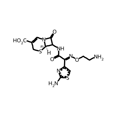 NCCON=C(C(=O)NC1C(=O)N2C=C(C(=O)O)CS[C@H]12)c1csc(N)n1